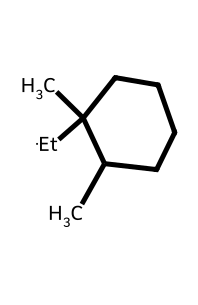 C[CH]C1(C)CCCCC1C